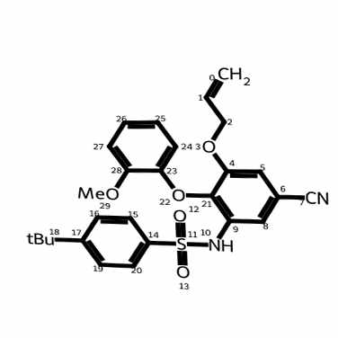 C=CCOc1cc(C#N)cc(NS(=O)(=O)c2ccc(C(C)(C)C)cc2)c1Oc1ccccc1OC